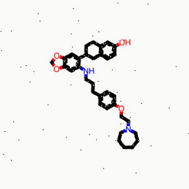 Oc1ccc2c(c1)CCC(c1cc3c(cc1NCCCc1ccc(OCCN4CCCCCC4)cc1)OCO3)C2